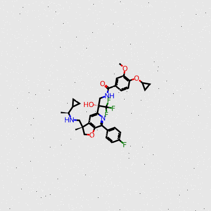 COc1cc(C(=O)NC[C@](O)(c2cc3c(c(-c4ccc(F)cc4)n2)OC[C@]3(C)CN[C@@H](C)C2CC2)C(F)(F)F)ccc1OC1CC1